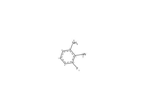 CCCc1c(F)cccc1[SiH3]